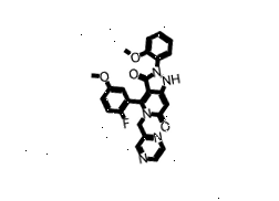 COc1ccc(F)c(-c2c3c(=O)n(-c4ccccc4OC)[nH]c3cc(=O)n2Cc2cnccn2)c1